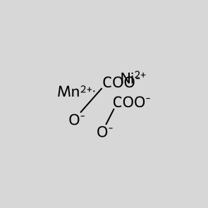 O=C([O-])[O-].O=C([O-])[O-].[Mn+2].[Ni+2]